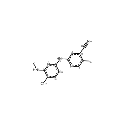 CNc1nc(Nc2ccc(C)c(C#N)c2)ncc1Cl